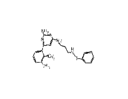 Cc1cccc(-c2cc(NCCCNSc3ccccc3)nc(N)n2)c1C